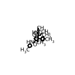 CCOC(=O)C(CC(C)(C)C)n1c(-c2ccc(C)cc2)c(C)c(C(=O)NC2CCC(C)CC2)cc1=O